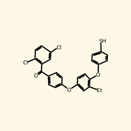 CCc1cc(Oc2ccc(C(=O)c3cc(Cl)ccc3Cl)cc2)ccc1Oc1ccc(S)cc1